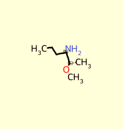 CCC[C@@H](N)[C@H](C)OC